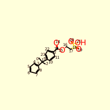 CC(C)(c1ccccc1)c1ccc(C(=O)OCCS(=O)(=O)O)cc1